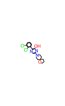 Oc1nc(N2CCC3(CCCO3)CC2)cnc1-c1cccc(Cl)c1Cl